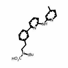 Cc1ccnc(Nc2cccc(-c3cccc(CCN(C(=O)O)C(C)(C)C)c3)n2)c1